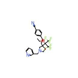 CCOC(C(F)(F)F)(C(F)(F)F)C1(CCc2ccc(C#N)cc2)CCN(Cc2cccnc2)C1